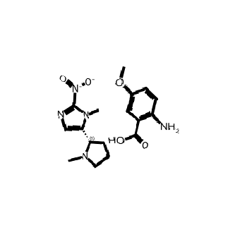 CN1CCC[C@H]1c1cnc([N+](=O)[O-])n1C.COc1ccc(N)c(C(=O)O)c1